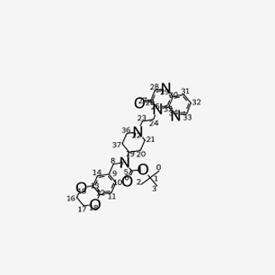 CC(C)(C)OC(=O)N(Cc1ccc2c(c1)OCCO2)C1CCN(CCn2c(=O)cnc3cccnc32)CC1